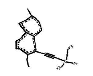 Cc1ccc2c(C#C[Si](C(C)C)(C(C)C)C(C)C)c(C)ccc2c1